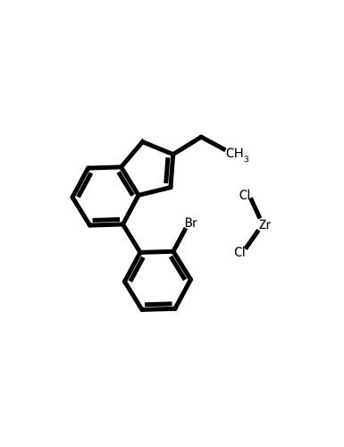 CCC1=Cc2c(cccc2-c2ccccc2Br)[CH]1.[Cl][Zr][Cl]